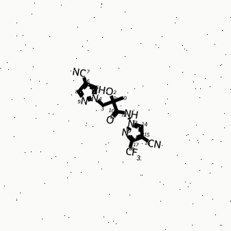 CC(O)(Cn1cc(C#N)cn1)C(=O)Nn1cc(C#N)c(C(F)(F)F)n1